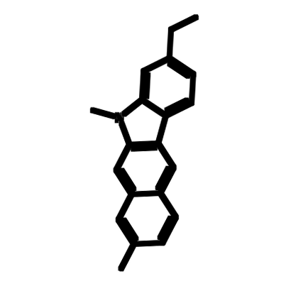 CCc1ccc2c3cc4ccc(C)cc4cc3n(C)c2c1